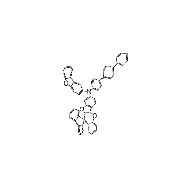 c1ccc(-c2ccc(-c3ccc(N(c4ccc5c6c(oc5c4)C4(c5ccccc5O6)c5ccccc5-c5ccccc54)c4ccc5oc6ccccc6c5c4)cc3)cc2)cc1